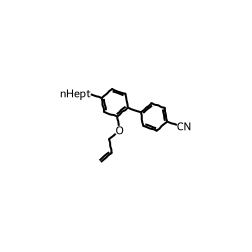 C=CCOc1cc(CCCCCCC)ccc1-c1ccc(C#N)cc1